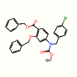 CC(C)(C)OC(=O)N(Cc1ccc(Br)cc1)c1ccc(C(=O)OCc2ccccc2)c(OCc2ccccc2)c1